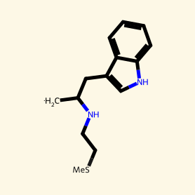 [CH2]C(Cc1c[nH]c2ccccc12)NCCSC